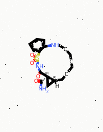 NC(=O)[C@@]12C[C@H]1CCCCCCCNc1ccccc1S(=O)(=O)NC2=O